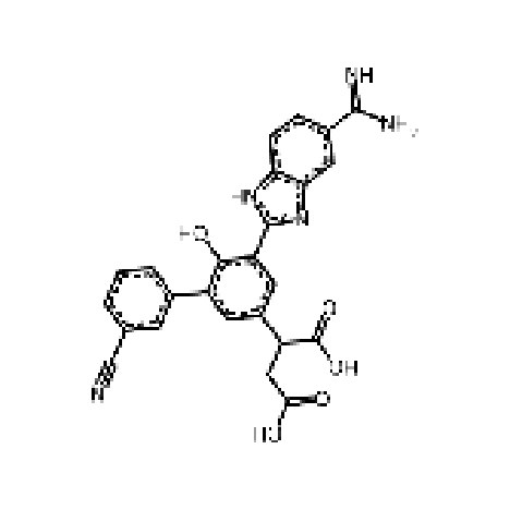 N#Cc1cccc(-c2cc(C(CC(=O)O)C(=O)O)cc(-c3nc4cc(C(=N)N)ccc4[nH]3)c2O)c1